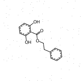 O=C(OCCc1ccccc1)c1c(O)cccc1O